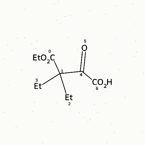 CCOC(=O)C(CC)(CC)C(=O)C(=O)O